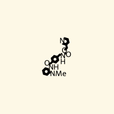 CNc1ccccc1NC(=O)c1ccc(CNC(=O)OCc2cccnc2)cc1